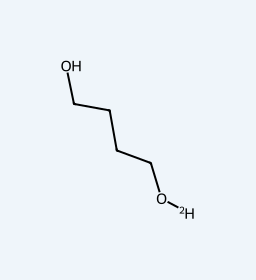 [2H]OCCCCO